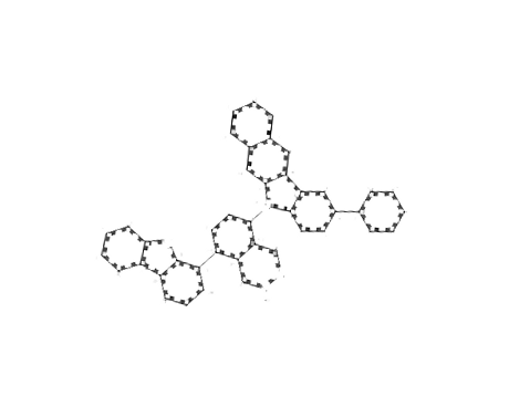 c1ccc(-c2ccc3c(c2)c2cc4ccccc4cc2n3-c2ccc(-c3cccc4c3oc3ccccc34)c3cnncc23)cc1